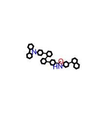 c1ccc(-c2ccccc2-c2ccc(-n3c4ccccc4c4ccccc43)cc2)c(-c2ccc(C3Nc4ccc(-c5cccc6ccccc56)cc4O3)cc2)c1